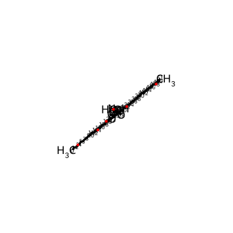 CCCCCCCCCCCCCCCCCCCCCCOC(=O)CC(C(=O)OCCCCCCCCCCCCCCCCCCCCCC)S(=O)(=O)O.[NaH]